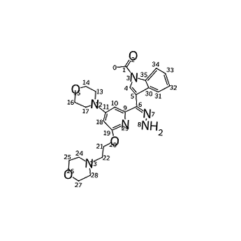 CC(=O)n1cc(C(=NN)c2cc(N3CCOCC3)cc(OCCN3CCOCC3)n2)c2ccccc21